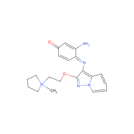 C[N+]1(CCOc2nn3ccccc3c2/N=C2\C=CC(=O)C=C2N)CCCC1